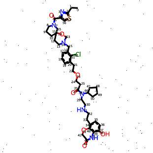 CCc1nc(C(=O)N2CCCC3(CCN(Cc4cccc(CCOCCC(=O)N(CCNCCc5ccc(O)c6c5OCC(=O)N6)C5CCCC5)c4Cl)CO3)C2)cs1